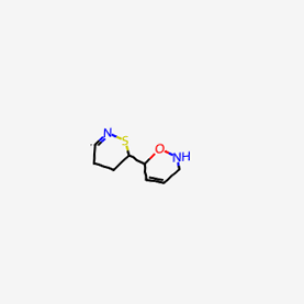 [C]1=NSC(C2C=CCNO2)CC1